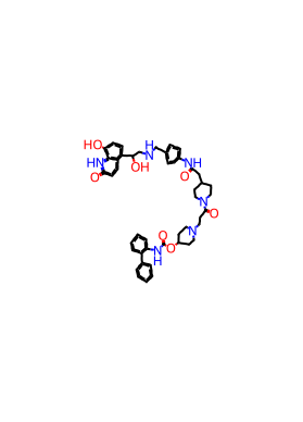 O=C(CC1CCN(C(=O)CCN2CCC(OC(=O)Nc3ccccc3-c3ccccc3)CC2)CC1)Nc1ccc(CNCC(O)c2ccc(O)c3[nH]c(=O)ccc23)cc1